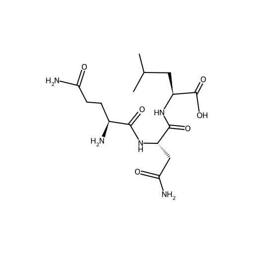 CC(C)C[C@H](NC(=O)[C@H](CC(N)=O)NC(=O)[C@@H](N)CCC(N)=O)C(=O)O